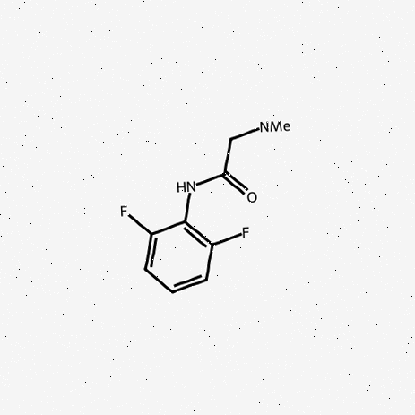 CNCC(=O)Nc1c(F)cccc1F